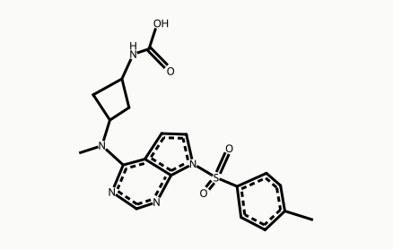 Cc1ccc(S(=O)(=O)n2ccc3c(N(C)C4CC(NC(=O)O)C4)ncnc32)cc1